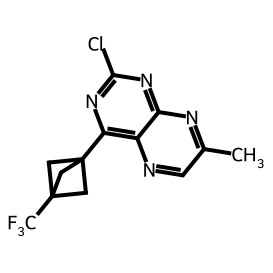 Cc1cnc2c(C34CC(C(F)(F)F)(C3)C4)nc(Cl)nc2n1